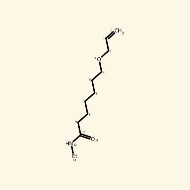 C=CCOCCCCCCC(=O)NCC